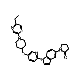 CCc1cnc(N2CCC(Oc3ccc(-n4ccc5cc(N6CCCC6=O)ccc54)nc3)CC2)cn1